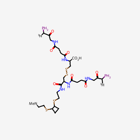 [3H]C(P)C(=O)CNC(=O)CCC(=O)NC(CSSCC(NC(=O)CCC(=O)NCC(=O)C([3H])P)C(=O)NCCSC1CCC1SCCNC)C(=O)O